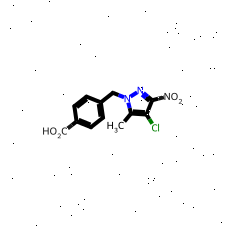 Cc1c(Cl)c([N+](=O)[O-])nn1Cc1ccc(C(=O)O)cc1